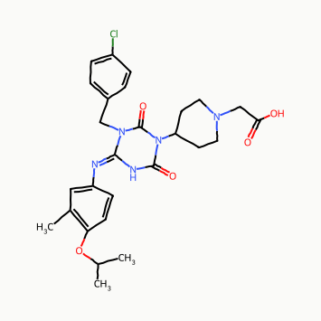 Cc1cc(/N=c2\[nH]c(=O)n(C3CCN(CC(=O)O)CC3)c(=O)n2Cc2ccc(Cl)cc2)ccc1OC(C)C